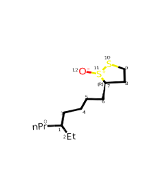 CCCC(CC)CCCC[C@@H]1CCS[S+]1[O-]